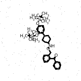 CC(C)(C)[Si](C)(C)Oc1ccc(C2CCC(NOCc3ccccc3C(=O)c3ccccc3)CC2)c(O[Si](C)(C)C(C)(C)C)c1